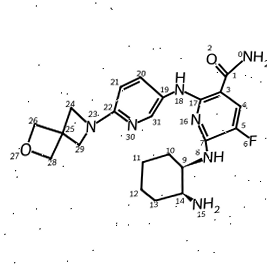 NC(=O)c1cc(F)c(N[C@@H]2CCCC[C@@H]2N)nc1Nc1ccc(N2CC3(COC3)C2)nc1